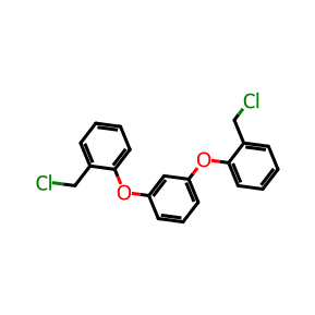 ClCc1ccccc1Oc1cccc(Oc2ccccc2CCl)c1